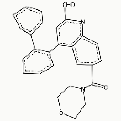 O=Cc1cc(-c2ccccc2-c2ccccc2)c2cc(C(=O)N3CCOCC3)ccc2n1